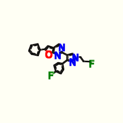 FCCCn1cc(-c2ncc3cc(-c4ccccc4)oc3n2)c(-c2ccc(F)cc2)n1